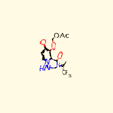 CC(=O)OCOc1c2n(ccc1=O)NCN([C@H](C)C(F)(F)F)C2=O